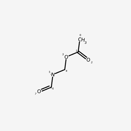 CC(=O)OC[N][C]=O